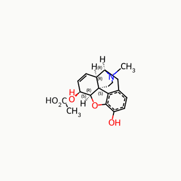 CC(=O)O.CN1CC[C@]23c4c5ccc(O)c4O[C@H]2[C@@H](O)C=C[C@H]3[C@H]1C5